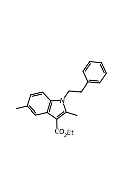 CCOC(=O)c1c(C)n(CCc2ccccc2)c2ccc(C)cc12